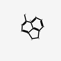 Cc1ccc2c3c(cccc13)CC2